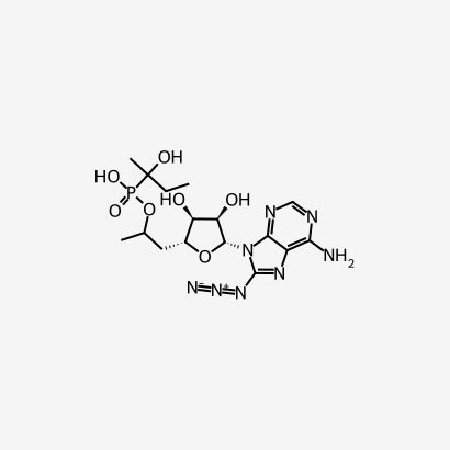 CCC(C)(O)P(=O)(O)OC(C)C[C@H]1O[C@@H](n2c(N=[N+]=[N-])nc3c(N)ncnc32)[C@H](O)[C@@H]1O